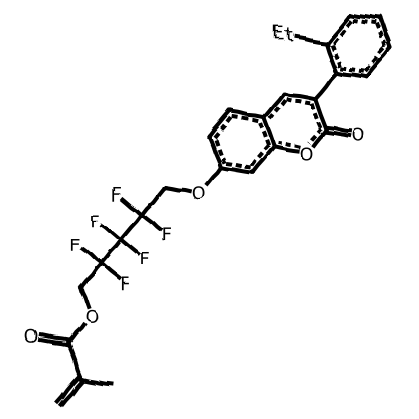 C=C(C)C(=O)OCC(F)(F)C(F)(F)C(F)(F)COc1ccc2cc(-c3ccccc3CC)c(=O)oc2c1